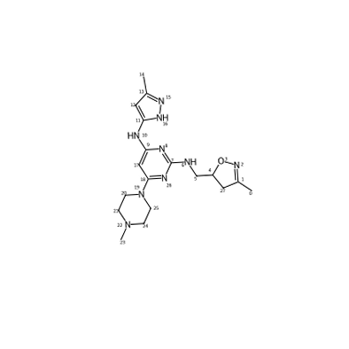 CC1=NOC(CNc2nc(Nc3cc(C)n[nH]3)cc(N3CCN(C)CC3)n2)C1